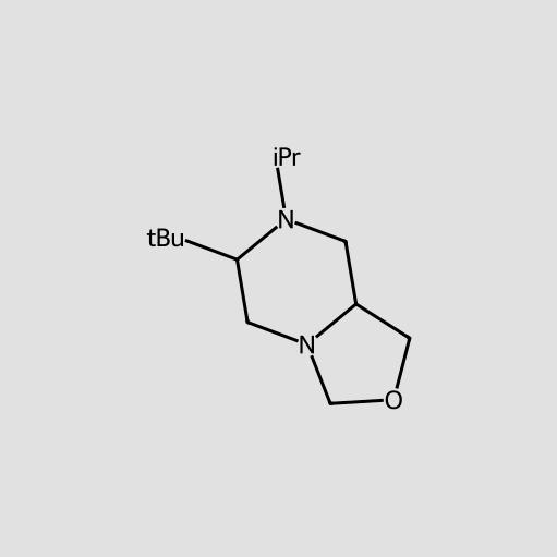 CC(C)N1CC2COCN2CC1C(C)(C)C